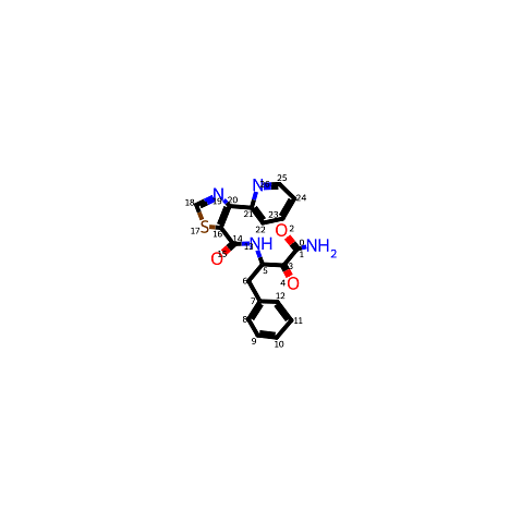 NC(=O)C(=O)C(Cc1ccccc1)NC(=O)c1scnc1-c1ccccn1